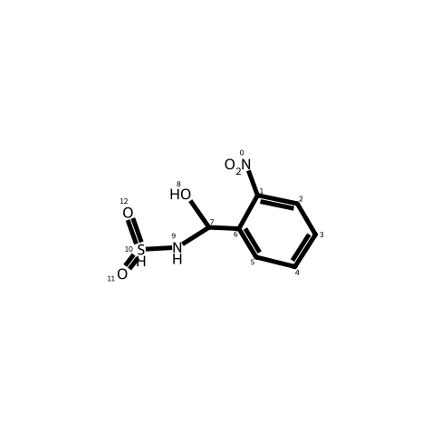 O=[N+]([O-])c1ccccc1C(O)N[SH](=O)=O